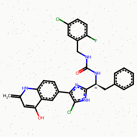 C=C1C=C(O)c2cc(-c3nc([C@H](Cc4ccccc4)NC(=O)NCc4cc(Cl)ccc4F)[nH]c3Cl)ccc2N1